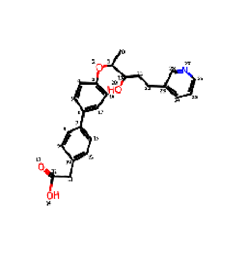 CC(Oc1ccc(-c2ccc(CC(=O)O)cc2)cc1)C(O)CCc1cccnc1